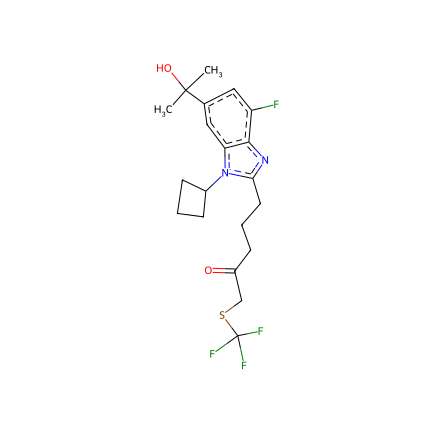 CC(C)(O)c1cc(F)c2nc(CCCC(=O)CSC(F)(F)F)n(C3CCC3)c2c1